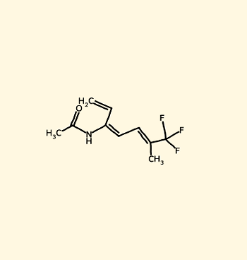 C=C/C(=C\C=C(/C)C(F)(F)F)NC(C)=O